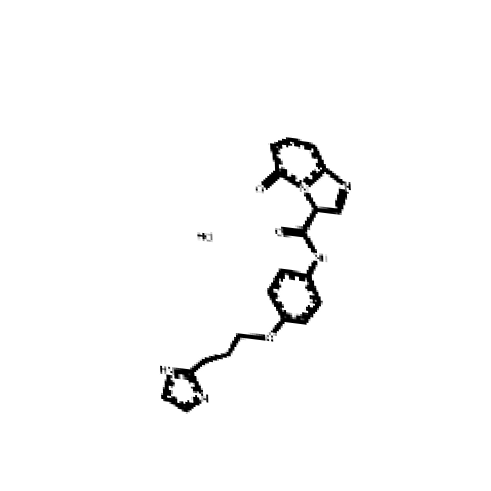 Cl.O=C(Nc1ccc(OCCCc2ncc[nH]2)cc1)C1C=Nc2cccc(=O)n21